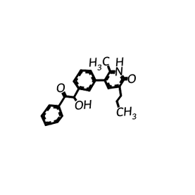 CCCc1cc(-c2cccc(C(O)C(=O)c3ccccc3)c2)c(C)[nH]c1=O